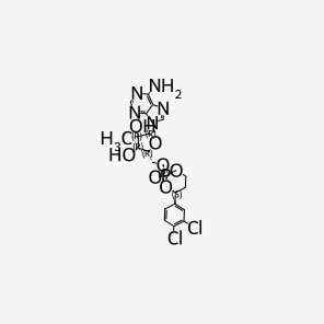 C[C@@]1(O)[C@H](O)[C@@H](CO[P@@]2(=O)OCC[C@@H](c3ccc(Cl)c(Cl)c3)O2)O[C@H]1n1cnc2c(N)ncnc21